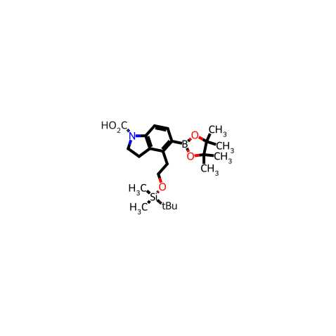 CC1(C)OB(c2ccc3c(c2CCO[Si](C)(C)C(C)(C)C)CCN3C(=O)O)OC1(C)C